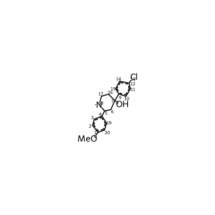 COc1ccc(C2CC(O)(c3ccc(Cl)cc3)CC[N]2)cc1